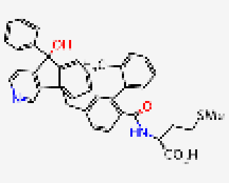 CSCC[C@H](NC(=O)c1ccc(CCc2cnccc2C(O)(c2ccccc2)c2ccccc2)cc1-c1ccccc1C)C(=O)O